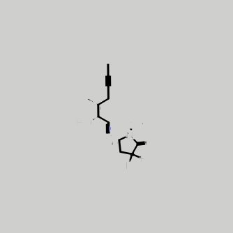 CC#CC[C@H](C)[C@H](O)/C=C/[C@H]1CC(F)(F)C(=O)N1[CH]CCCCC[CH]C